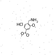 COC(=O)c1ccc(CN)c(OC)c1.Cl